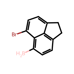 Bc1ccc2c3c(ccc(Br)c13)CC2